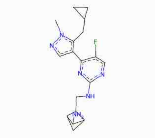 Cn1ncc(-c2nc(NCC3C4CC3C4N)ncc2F)c1CC1CC1